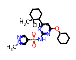 Cn1cc(S(=O)(=O)Nc2nc(OC3CCCCC3)cc(C3CCCCC3(C)C)n2)cn1